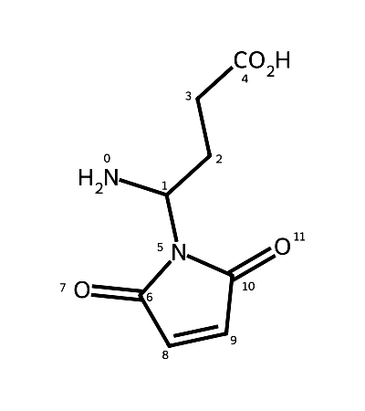 NC(CCC(=O)O)N1C(=O)C=CC1=O